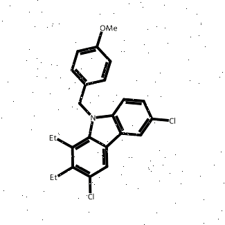 CCc1c(Cl)cc2c3cc(Cl)ccc3n(Cc3ccc(OC)cc3)c2c1CC